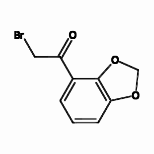 O=C(CBr)c1cccc2c1OCO2